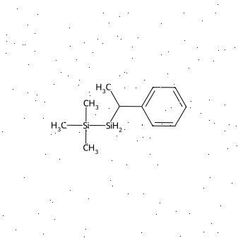 CC([SiH2][Si](C)(C)C)c1ccccc1